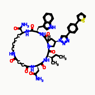 CCC(C)[C@@H]1NC(=O)[C@H](CC(N)=O)NC(=O)CCC(=O)NCCCC[C@@H](C(N)=O)NC(=O)[C@H](Cc2c[nH]c3ccccc23)NC(=O)[C@@H]2C[C@H](n3cc(-c4ccc(-c5cccs5)cc4)nn3)CN2C1=O